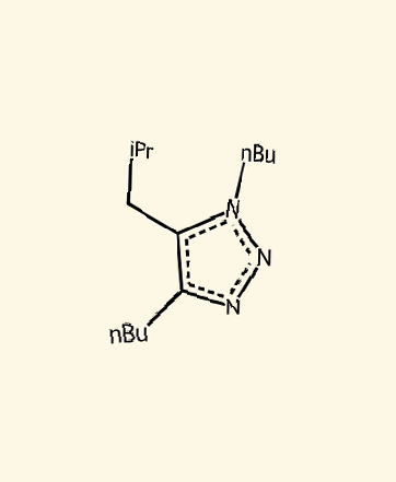 CCCCc1nnn(CCCC)c1CC(C)C